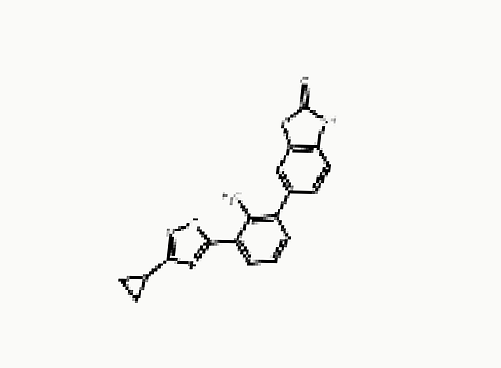 Cc1c(-c2ccc3[nH]c(=O)sc3c2)cccc1-c1nc(C2CC2)no1